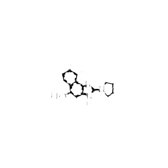 Oc1cc2[nH]c(N3CCCC3)nc2c2ccccc12